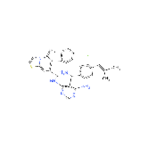 C=C1C(c2ccccc2)=C(CNc2ncnc(N)c2C(N)c2ccc(C=C(C)C)c(F)c2)C=C2SC=CN12